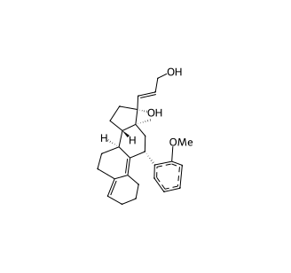 COc1ccccc1[C@H]1C[C@@]2(C)[C@@H](CC[C@@]2(O)C=CCO)[C@@H]2CCC3=CCCCC3=C21